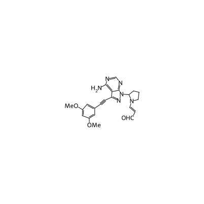 COc1cc(C#Cc2nn(C3CCCN3C=CC=O)c3ncnc(N)c23)cc(OC)c1